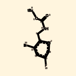 CC(C)(C)OC(=O)NCc1ncc(F)cc1Br